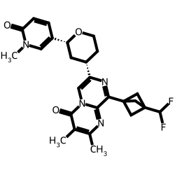 Cc1nc2c(C34CC(C(F)F)(C3)C4)nc([C@H]3CCO[C@@H](c4ccc(=O)n(C)c4)C3)cn2c(=O)c1C